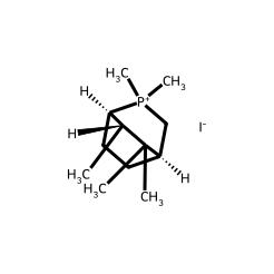 C[C@@H]1[C@H]2CC[C@H](C[P+]2(C)C)C1(C)C.[I-]